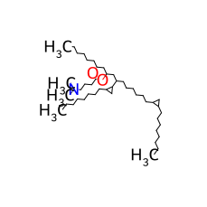 CCCCCCCCC(CC(CCCCCCC1CC1CCCCCCCC)C1CC1CCCCCCCC)OC(=O)CCCN(C)C